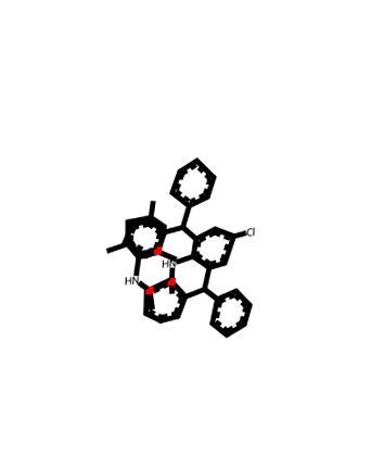 Cc1cc(C)c(NC(C)C(C)Nc2c(C(c3ccccc3)c3ccccc3)cc(Cl)cc2C(c2ccccc2)c2ccccc2)c(C)c1